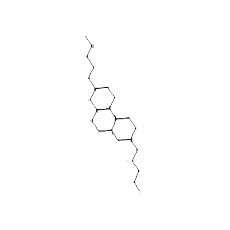 CCCCCC1CCC2C(CCC3CC(CCCCC)CCC32)C1